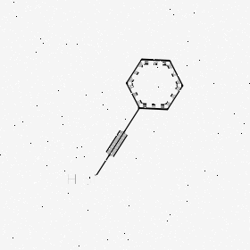 [SiH3]C#Cc1ccccc1